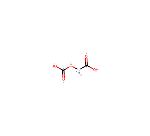 O=C(O)O[SiH2]C(=O)O